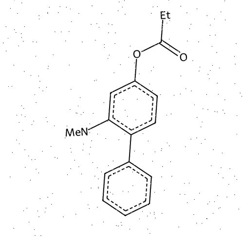 CCC(=O)Oc1ccc(-c2ccccc2)c(NC)c1